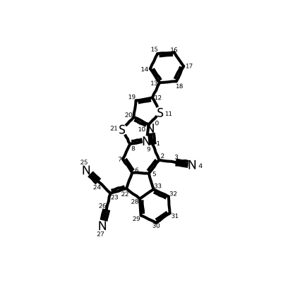 N#CC(C#N)=C1C(=Cc2nc3sc(-c4ccccc4)cc3s2)C(=C(C#N)C#N)c2ccccc21